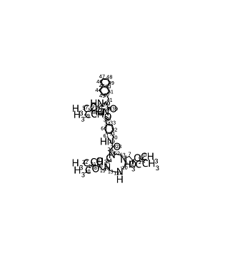 CC(C)(C)OC(=O)CN1C[CH]NCCN(CC(=O)OC(C)(C)C)CCN(CC(=O)NCc2ccc(CONC(=O)[C@@H](Cc3ccc4ccccc4c3)NC(=O)OC(C)(C)C)cc2)CC1